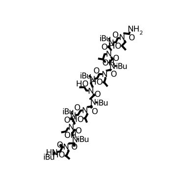 CCC(C)NCC(=O)N(CC(=O)N(CC(=O)N(CC(=O)N(CC(=O)N(CC(=O)N(CC(=O)N(CCN(CC(=O)N(CC(=O)N(CC(=O)N(CC(=O)N(CC(=O)N(CC(N)=O)CC(C)O)C(C)CC)CC(C)O)C(C)CC)CC(C)O)C(C)CC)CC(C)O)C(C)CC)CC(C)O)C(C)CC)CC(C)O)C(C)CC)CC(C)O